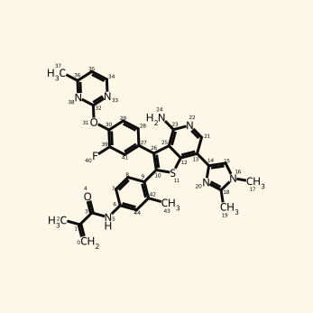 C=C(C)C(=O)Nc1ccc(-c2sc3c(-c4cn(C)c(C)n4)cnc(N)c3c2-c2ccc(Oc3nccc(C)n3)c(F)c2)c(C)c1